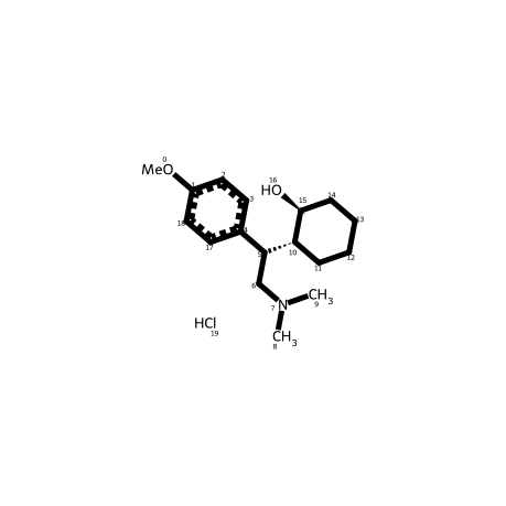 COc1ccc(C(CN(C)C)[C@H]2CCCC[C@@H]2O)cc1.Cl